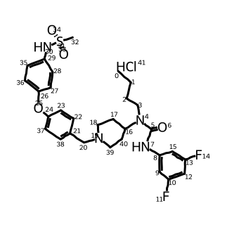 CCCCN(C(=O)Nc1cc(F)cc(F)c1)C1CCN(Cc2ccc(Oc3ccc(NS(C)(=O)=O)cc3)cc2)CC1.Cl